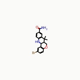 CC1(C)c2cc(C(N)=O)ccc2NC2c3cc(Br)ccc3OCC21